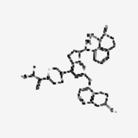 C=C(F)C(=O)N1CCN(c2nc(Oc3cccc4c3CCN(C)C4)nc3c2CCN3C(C)c2cccc3c2N(C)C(=O)CC3)CC1